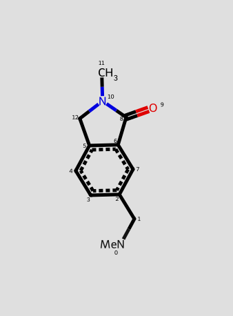 CNCc1ccc2c(c1)C(=O)N(C)C2